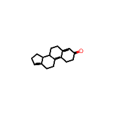 O=C1C=C2CCC3C(=C2CC1)CCC1=CCCC13